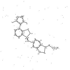 Cc1noc(C)c1-c1cccc2c1CC[C@H]2Oc1ccc2c(c1)OCC2CC(=O)O